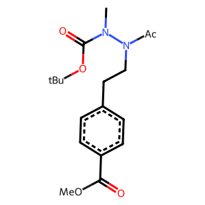 COC(=O)c1ccc(CCN(C(C)=O)N(C)C(=O)OC(C)(C)C)cc1